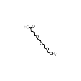 [CH2]COCCOCCOCCCC(=O)O